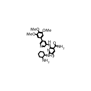 COc1cc(-c2cncc(Nc3nc(NC4CCCCC4N)c(F)cc3C(N)=O)c2)cc(OC)c1OC